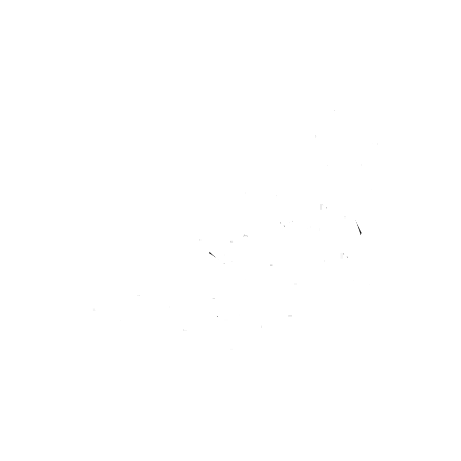 CNC[C@H](CC1CCCCC1)NC(=O)N1CCC[C@@H]([C@@](O)(CCCCOC)c2ccccc2C(F)(F)F)C1